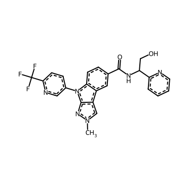 Cn1cc2c3cc(C(=O)NC(CO)c4ccccn4)ccc3n(-c3ccc(C(F)(F)F)nc3)c2n1